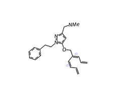 C=C/C=C\C(=C/C=C)COc1cc(CNC)nn1CCc1ccccc1